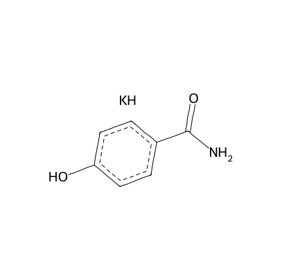 NC(=O)c1ccc(O)cc1.[KH]